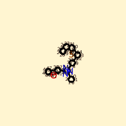 c1ccc(-c2nc(-c3ccc(-c4cccc5c4sc4c5ccc5ccc6ccccc6c54)cc3)nc(-c3ccc4c(c3)oc3ccccc34)n2)cc1